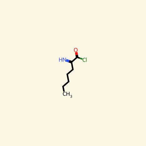 CCCCCC(=N)C(=O)Cl